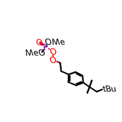 COP(=O)(OC)OOCCc1ccc(C(C)(C)CC(C)(C)C)cc1